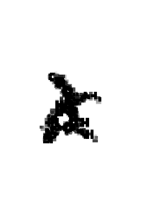 C[C@H](NC(=O)[C@@H]1Cc2ccc(OCCN)c(c2)-c2cc(ccc2O)[C@H](N(C)C(=O)[C@H](CCCCN)NC(=O)c2ccc(-c3ccc(Cl)cc3)cc2)C(=O)N[C@@H](C)C(=O)N1)C(=O)CO